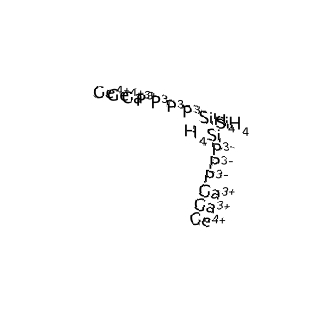 [Ga+3].[Ga+3].[Ga+3].[Ge+4].[Ge+4].[Ge+4].[P-3].[P-3].[P-3].[P-3].[P-3].[P-3].[P-3].[SiH4].[SiH4].[SiH4]